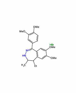 Br.CCC1c2cc(OC)c(OC)cc2C(c2ccc(OC)c(OC)c2)=NNC1C